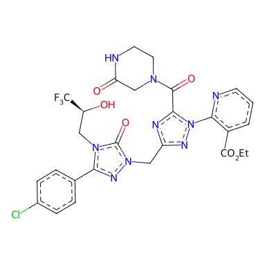 CCOC(=O)c1cccnc1-n1nc(Cn2nc(-c3ccc(Cl)cc3)n(C[C@H](O)C(F)(F)F)c2=O)nc1C(=O)N1CCNC(=O)C1